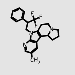 Cc1cnc2c(c1)c1c(n2CC(c2ccccc2)C(F)(F)F)CCN2CCCC12